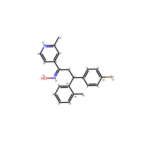 Cc1cc(/C(CC(c2ccc(Br)cc2)c2ccccc2C)=N\O)ccn1